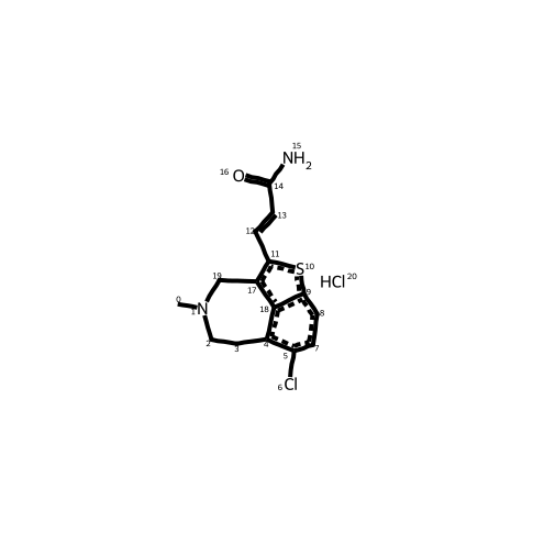 CN1CCc2c(Cl)ccc3sc(/C=C/C(N)=O)c(c23)C1.Cl